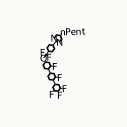 CCCCCc1cnc(-c2ccc(C(F)(F)Oc3ccc(-c4ccc(-c5cc(F)c(F)c(F)c5)c(F)c4)c(F)c3)cc2)nc1